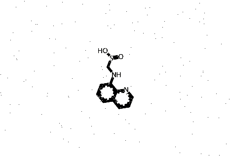 O=S(O)CNc1cccc2cccnc12